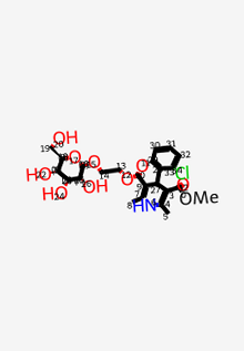 COC(=O)C1=C(C)NC(C)=C(C(=O)OCCO[C@@H]2O[C@H](CO)[C@@H](O)[C@H](O)[C@H]2O)C1c1ccccc1Cl